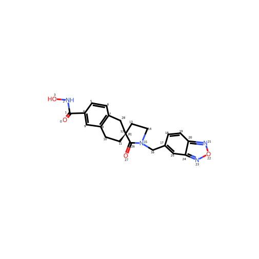 O=C(NO)c1ccc2c(c1)CC[C@]1(CCN(Cc3ccc4nonc4c3)C1=O)C2